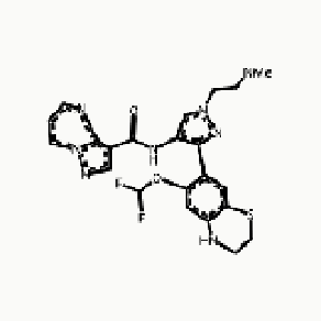 CNCCn1cc(NC(=O)c2cnn3cccnc23)c(-c2cc3c(cc2OC(F)F)NCCS3)n1